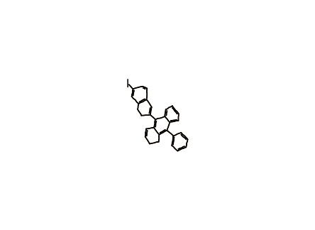 Ic1ccc2c(c1)CCC(c1c3c(c(-c4ccccc4)c4ccccc14)CCC=C3)=C2